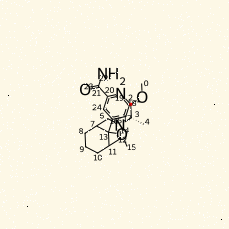 COC[C@H](C)N1CC2CCCC(C1)C2(OC)c1ccnc(C(N)=O)c1